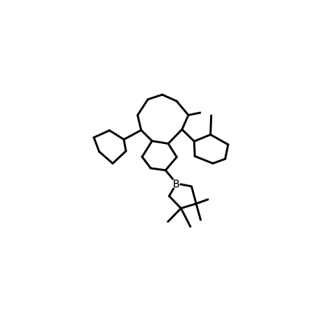 CC1CCCCC1C1C(C)CCCCC(C2CCCCC2)C2CCC(B3CC(C)(C)C(C)(C)C3)CC21